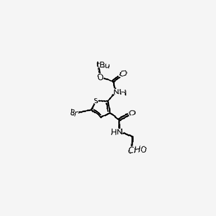 CC(C)(C)OC(=O)Nc1sc(Br)cc1C(=O)NCC=O